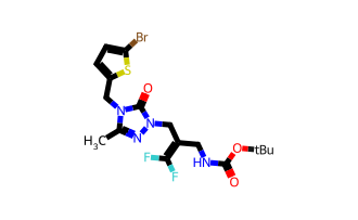 Cc1nn(CC(CNC(=O)OC(C)(C)C)=C(F)F)c(=O)n1Cc1ccc(Br)s1